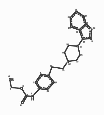 CC(C)(C)COC(=O)Nc1ccc(CCN2CCN(c3nsc4ccccc34)CC2)cc1